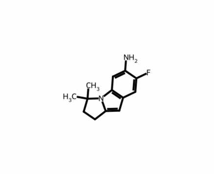 CC1(C)CCc2cc3cc(F)c(N)cc3n21